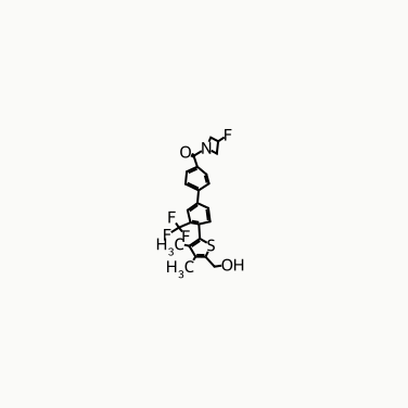 Cc1c(CO)sc(-c2ccc(-c3ccc(C(=O)N4CC(F)C4)cc3)cc2C(F)(F)F)c1C